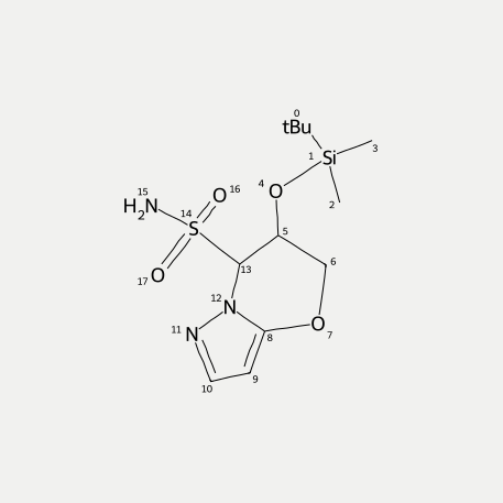 CC(C)(C)[Si](C)(C)OC1COc2ccnn2C1S(N)(=O)=O